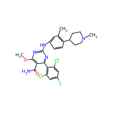 COc1nc(Nc2ccc(C3CCN(C)CC3)c(C)c2)nc(-c2c(Cl)cc(F)cc2Cl)c1C(N)=O